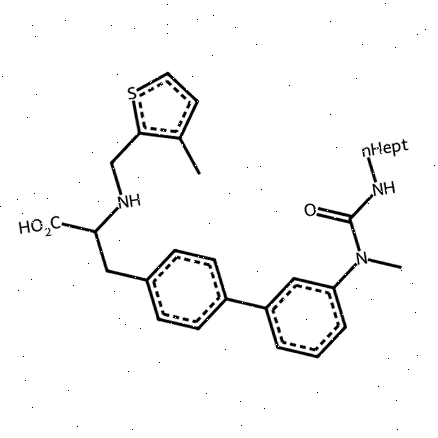 CCCCCCCNC(=O)N(C)c1cccc(-c2ccc(CC(NCc3sccc3C)C(=O)O)cc2)c1